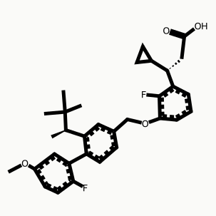 COc1ccc(F)c(-c2ccc(COc3cccc([C@@H](CC(=O)O)C4CC4)c3F)cc2[C@@H](C)C(C)(C)C)c1